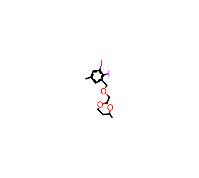 Cc1cc(I)c(I)c(COCC2OCCC(C)O2)c1